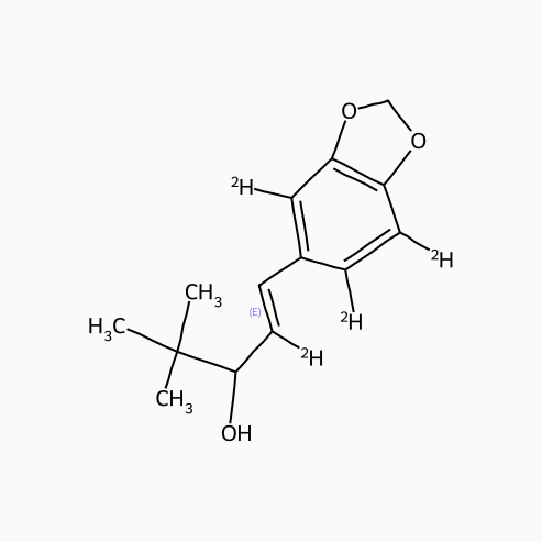 [2H]/C(=C\c1c([2H])c([2H])c2c(c1[2H])OCO2)C(O)C(C)(C)C